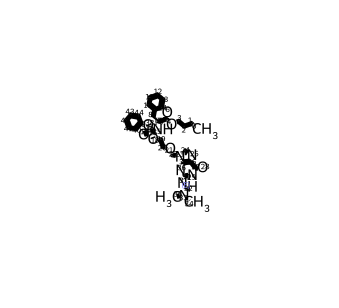 CCCCOC(=O)[C@H](Cc1ccccc1)NP(=O)(OCCOCn1cnc2c(=O)[nH]c(/N=C/N(C)C)nc21)Oc1ccccc1